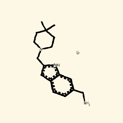 CC1(C)CCN(Cc2cc3ccc(CN)cc3[nH]2)CC1.[Li]